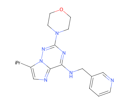 CC(C)c1cnc2c(NCc3cccnc3)nc(N3CCOCC3)nn12